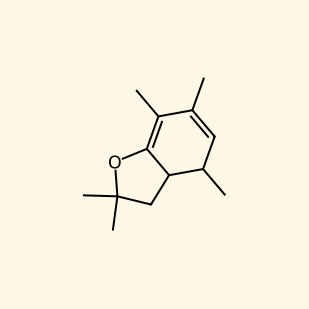 CC1=CC(C)C2CC(C)(C)OC2=C1C